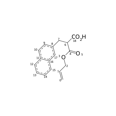 C=CCOC(=O)C(Cc1ccc2ccccc2c1)C(=O)O